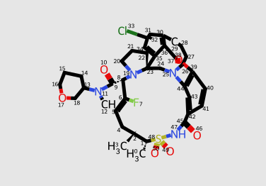 C[C@@H]1[C@@H](C)C/C=C(\F)[C@H](C(=O)N(C)C2CCCOC2)N2CCC[C@@]23CN2CCCCc4cc(Cl)cc3c4COc3ccc(cc32)C(=O)NS1(=O)=O